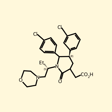 CC[C@@H](CN1CCOCC1)N1C(=O)C(CC(=O)O)C[C@H](c2cccc(Cl)c2)C1c1ccc(Cl)cc1